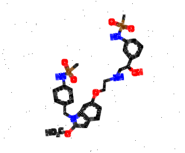 CS(=O)(=O)Nc1ccc(Cn2c(OC(=O)O)cc3ccc(OCCNC[C@H](O)c4cccc(NS(C)(=O)=O)c4)cc32)cc1